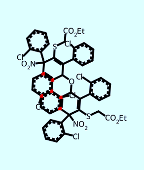 CCOC(=O)CSC1=C(c2ccccc2Cl)C(OC2C(c3ccccc3Cl)=CC(c3ccccc3Cl)([N+](=O)[O-])C(SCC(=O)OCC)=C2c2ccccc2Cl)C(c2ccccc2Cl)=CC1(c1ccccc1Cl)[N+](=O)[O-]